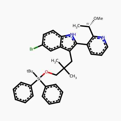 CO[C@@H](C)c1ncccc1-c1[nH]c2ccc(Br)cc2c1CC(C)(C)CO[Si](c1ccccc1)(c1ccccc1)C(C)(C)C